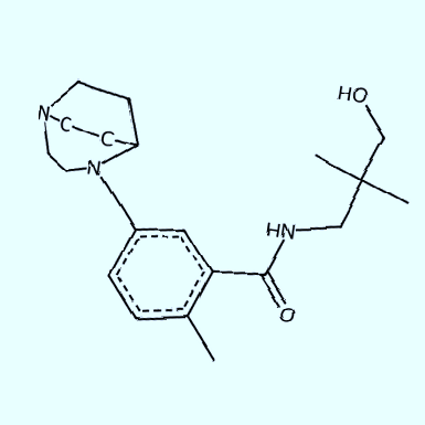 Cc1ccc(N2CCN3CCC2CC3)cc1C(=O)NCC(C)(C)CO